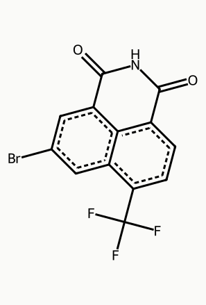 O=C1NC(=O)c2cc(Br)cc3c(C(F)(F)F)ccc1c23